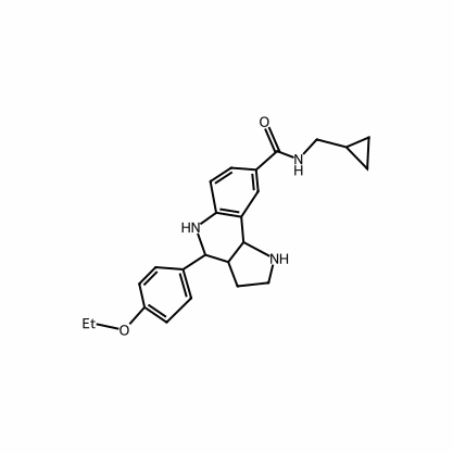 CCOc1ccc(C2Nc3ccc(C(=O)NCC4CC4)cc3C3NCCC23)cc1